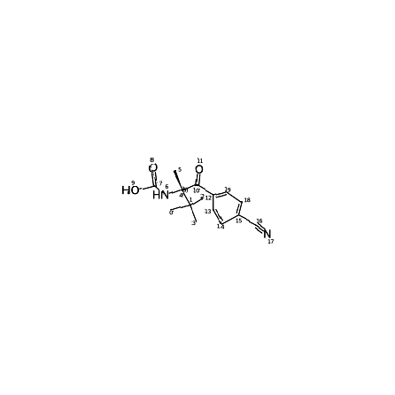 CC(C)(C)[C@](C)(NC(=O)O)C(=O)c1ccc(C#N)cc1